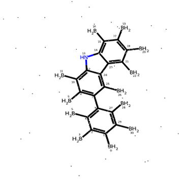 Bc1c(B)c(B)c(-c2c(B)c(B)c3[nH]c4c(B)c(B)c(B)c(B)c4c3c2B)c(B)c1B